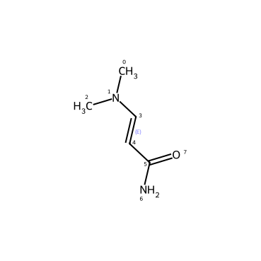 CN(C)/C=C/C(N)=O